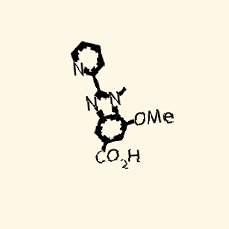 COc1cc(C(=O)O)cc2nc(-c3ccccn3)n(C)c12